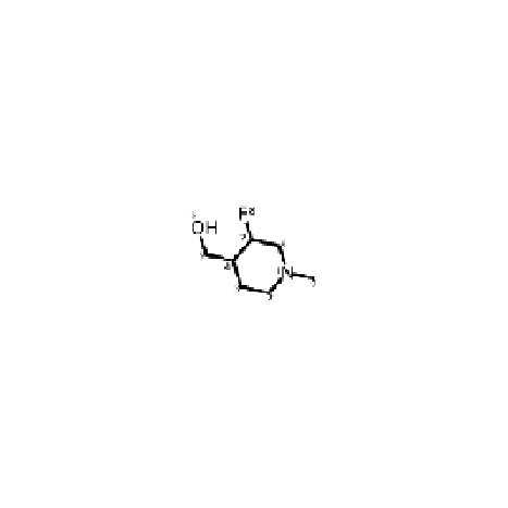 CN1CC[C@@H](CO)[C@@H](F)C1